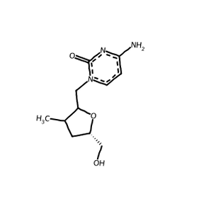 CC1C[C@@H](CO)OC1Cn1ccc(N)nc1=O